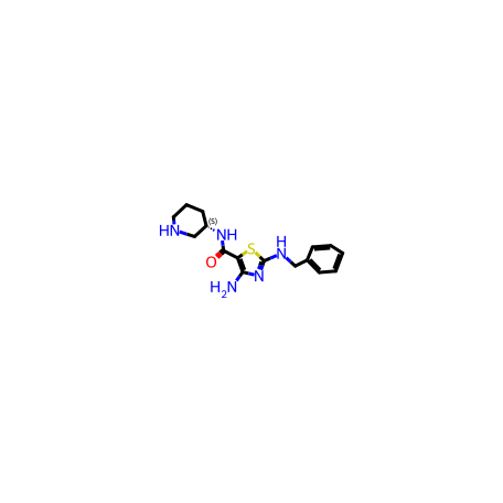 Nc1nc(NCc2ccccc2)sc1C(=O)N[C@H]1CCCNC1